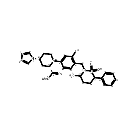 COC(=O)[C@@H]1C[C@H](n2cnnc2)CCN1c1ccc(CN2C(C)CCC(c3ccccc3)S2(=O)=O)c(F)c1